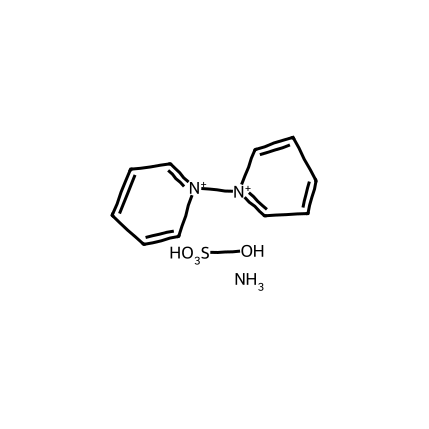 N.O=S(=O)(O)O.c1cc[n+](-[n+]2ccccc2)cc1